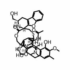 COc1c(C)cc2c(c1O)[C@H]1[C@@H]3[C@@H]4SC[C@]5(N[C@@H](CO)Cc6c5oc5ccccc65)C(=O)OC[C@@H](c5c6c(c(C)c(OC(C)=O)c54)OCO6)N3[C@@H](O)C(C2)N1C